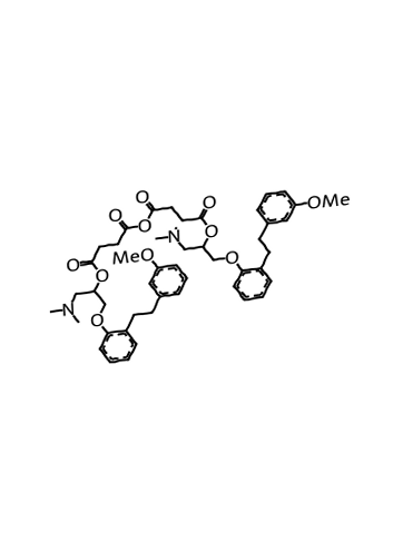 COc1cccc(CCc2ccccc2OCC(CN(C)C)OC(=O)CCC(=O)OC(=O)CCC(=O)OC(COc2ccccc2CCc2cccc(OC)c2)CN(C)C)c1